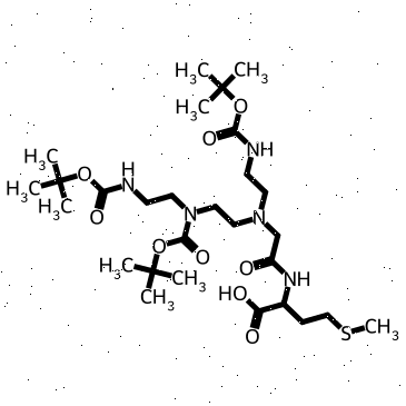 CSCCC(NC(=O)CN(CCNC(=O)OC(C)(C)C)CCN(CCNC(=O)OC(C)(C)C)C(=O)OC(C)(C)C)C(=O)O